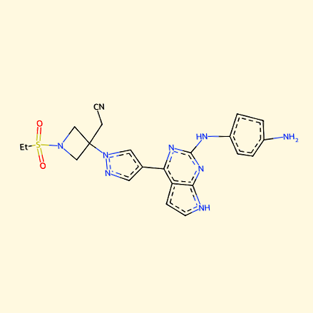 CCS(=O)(=O)N1CC(CC#N)(n2cc(-c3nc(Nc4ccc(N)cc4)nc4[nH]ccc34)cn2)C1